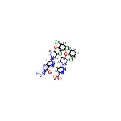 COC(=O)c1ccc(N2CCC(Oc3c(Cl)cccc3Cl)CC2)nn1.NNC(=O)c1ccc(N2CCC(Oc3c(Cl)cccc3Cl)CC2)nn1